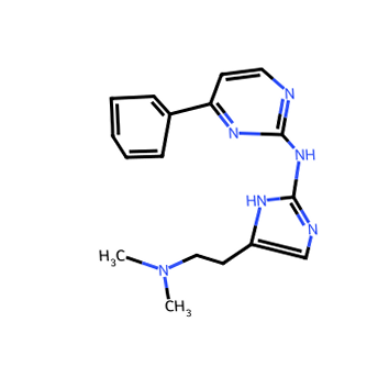 CN(C)CCc1cnc(Nc2nccc(-c3ccccc3)n2)[nH]1